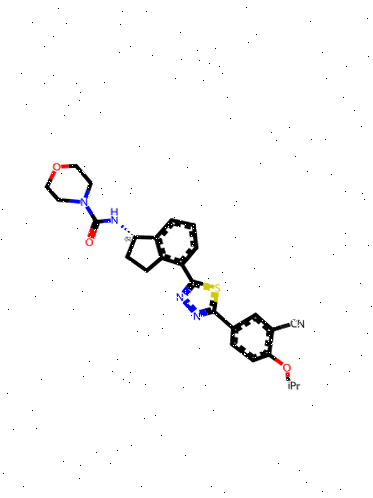 CC(C)Oc1ccc(-c2nnc(-c3cccc4c3CC[C@@H]4NC(=O)N3CCOCC3)s2)cc1C#N